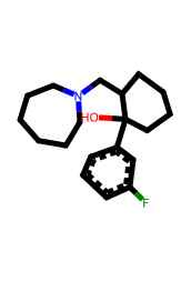 OC1(c2cccc(F)c2)CCCCC1CN1CCCCCC1